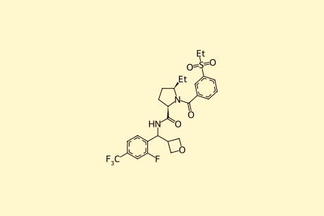 CC[C@@H]1CC[C@H](C(=O)NC(c2ccc(C(F)(F)F)cc2F)C2COC2)N1C(=O)c1cccc(S(=O)(=O)CC)c1